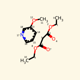 CCOC(=O)CC(=O)OCC.COc1cccnc1